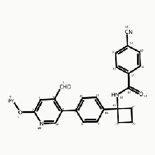 CC(C)Oc1cc(C=O)c(-c2ccc(C3(NC(=O)c4ccc(C#N)cc4)CCC3)cc2)cn1